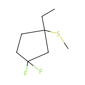 CCC1(SC)CCC(F)(F)C1